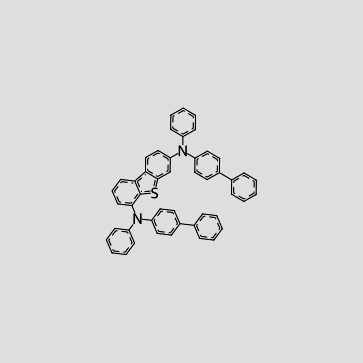 c1ccc(-c2ccc(N(c3ccccc3)c3ccc4c(c3)sc3c(N(c5ccccc5)c5ccc(-c6ccccc6)cc5)cccc34)cc2)cc1